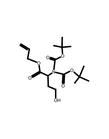 C=CCOC(=O)C(CCO)N(C(=O)OC(C)(C)C)C(=O)OC(C)(C)C